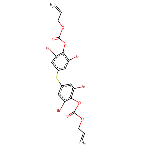 C=CCOC(=O)Oc1c(Br)cc(Sc2cc(Br)c(OC(=O)OCC=C)c(Br)c2)cc1Br